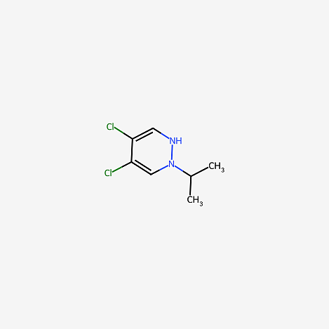 CC(C)N1C=C(Cl)C(Cl)=CN1